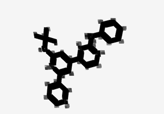 CC(C)(C)Oc1cc(-c2ccnc(Nc3ccccc3)n2)cc(-c2cccnc2)n1